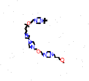 COCCCCN1CCN(CCOCCN2CCN(C3CN(CCCC(C)(C)OCCN4CCN(C(C)(C)C)CC4)C3)CC2)CC1